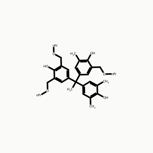 CCCOCc1cc(C(C)(c2cc(C)c(O)c(C)c2)c2cc(COCCC)c(O)c(COCCC)c2)cc(C)c1O